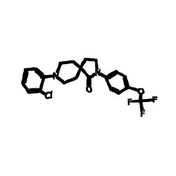 O=C1N(c2ccc(OC(F)(F)F)cc2)CCC12CCN(c1ccccc1Cl)CC2